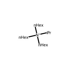 CCCCCC[N+](CCCCCC)(CCCCCC)C(C)C